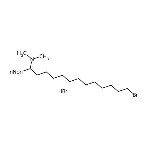 Br.CCCCCCCCCC(CCCCCCCCCCCCBr)N(C)C